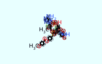 COc1ccc(C(=O)Oc2ccc(CS[P@]3(=O)OC[C@@H](OC)[C@H]([C@@H](F)n4cnc5c(N)ncnc54)OP(=O)(O)OC[C@H]4O[C@@H](n5ccc(=O)[nH]c5=O)[C@H](O3)[C@@H]4F)cc2)cc1